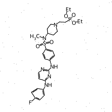 CCOP(=O)(CCN1CCC(N(C)S(=O)(=O)c2ccc(Nc3nccc(Nc4ccc(F)cc4)n3)cc2)CC1)OCC